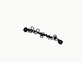 O=C(/C=C/C(=O)OCNC(=O)OCc1ccccc1)OCCCCCCNC(=O)OCc1ccccc1